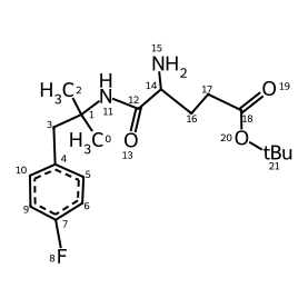 CC(C)(Cc1ccc(F)cc1)NC(=O)C(N)CCC(=O)OC(C)(C)C